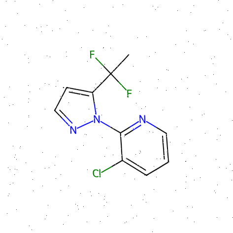 CC(F)(F)c1[c]cnn1-c1ncccc1Cl